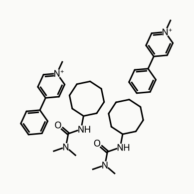 CN(C)C(=O)NC1CCCCCCC1.CN(C)C(=O)NC1CCCCCCC1.C[n+]1ccc(-c2ccccc2)cc1.C[n+]1ccc(-c2ccccc2)cc1